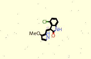 COc1cc[nH]c1/C=C1\C(=O)Nc2cccc(Cl)c21